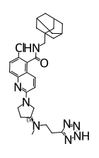 CN(CCc1nn[nH]n1)[C@H]1CCN(c2ccc3c(C(=O)NCC45CC6CC(CC(C6)C4)C5)c(Cl)ccc3n2)C1